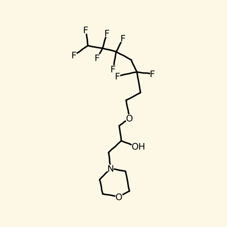 OC(COCCC(F)(F)CC(F)(F)C(F)(F)C(F)F)CN1CCOCC1